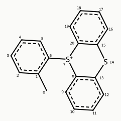 Cc1ccccc1[S+]1c2ccccc2Sc2ccccc21